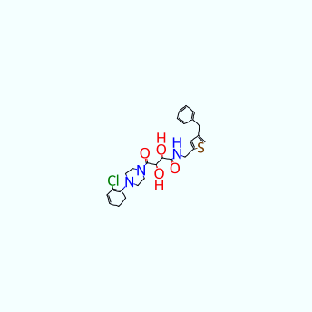 O=C(NCc1cc(Cc2ccccc2)cs1)[C@H](O)[C@@H](O)C(=O)N1CCN(C2=C(Cl)C=CCC2)CC1